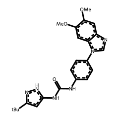 COc1cc2ncn(-c3ccc(NC(=O)Nc4cc(C(C)(C)C)n[nH]4)cc3)c2cc1OC